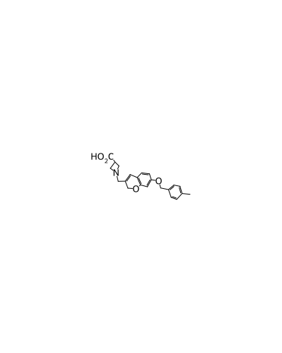 Cc1ccc(COc2ccc3c(c2)OCC(CN2CC(C(=O)O)C2)=C3)cc1